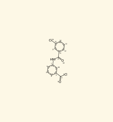 O=C(Cl)c1cccc(NC(=O)c2cccc(Cl)c2)c1